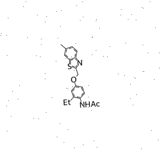 CCc1cc(OCc2nc3ccc(C)cc3s2)ccc1NC(C)=O